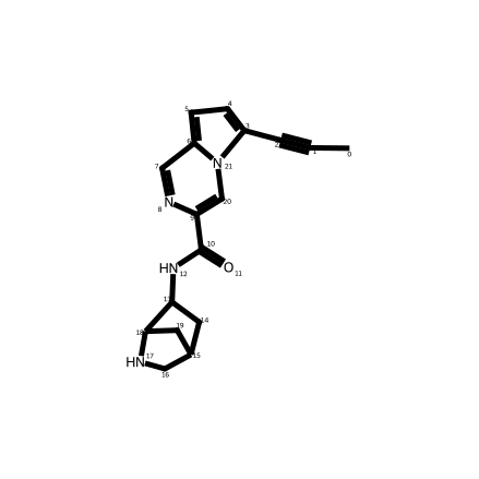 CC#Cc1ccc2cnc(C(=O)NC3CC4CNC3C4)cn12